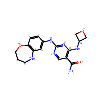 NC(=O)c1cnc(Nc2ccc3c(c2)NCCCO3)nc1NC1COC1